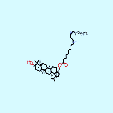 C=C(C)[C@@H]1CC[C@]2(COC(=O)CCCCCCC/C=C\C/C=C\CCCCC)CC[C@]3(C)[C@H](CC[C@@H]4[C@@]5(C)CC[C@H](O)C(C)(C)[C@@H]5CC[C@]43C)[C@@H]12